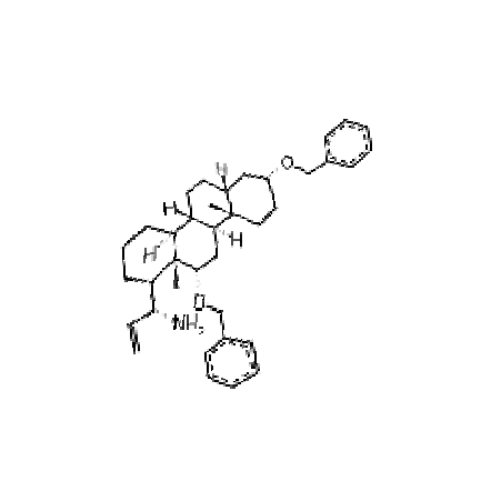 C=C[C@@H](N)[C@H]1CCC[C@H]2[C@@H]3CC[C@@H]4C[C@H](OCc5ccccc5)CC[C@]4(C)[C@H]3C[C@H](OCc3ccccc3)[C@]12C